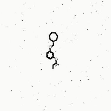 CC[C@H](C)Oc1cccc(OCC2CCCCCC2)c1